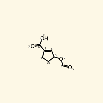 O=COC1C=C(C(=O)O)CC1